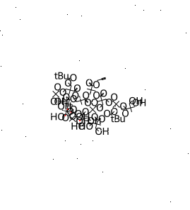 C#CCOC(=O)C(C)(COC(=O)C(C)(COC(=O)C(C)(COC(=O)C(C)(C)C)COC(=O)C(C)(CO)CO)COC(=O)C(C)(COC(=O)C(C)(CO)CO)COC(=O)C(C)(CO)CO)COC(=O)C(C)(COC(=O)C(C)(COC(=O)C(C)(C)C)COC(=O)C(C)(CO)CO)COC(=O)C(C)(COC(=O)C(C)(CO)CO)COC(=O)C(C)(CO)CO